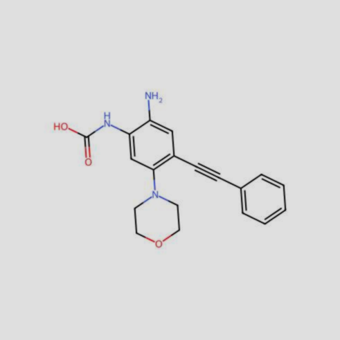 Nc1cc(C#Cc2ccccc2)c(N2CCOCC2)cc1NC(=O)O